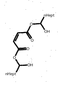 CCCCCCCC(O)OC(=O)/C=C\C(=O)OC(O)CCCCCCC